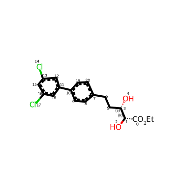 CCOC(=O)[C@H](O)[C@@H](O)CCc1ccc(-c2cc(Cl)cc(Cl)c2)cc1